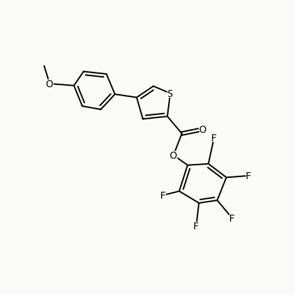 COc1ccc(-c2csc(C(=O)Oc3c(F)c(F)c(F)c(F)c3F)c2)cc1